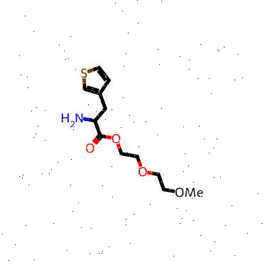 COCCOCCOC(=O)C(N)Cc1ccsc1